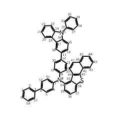 c1ccc(-c2ccc(N(c3ccc(-c4ccc5c(c4)c4ccccc4n5-c4ccccc4)cc3)c3cccc4sc5c6ccccc6ccc5c34)cc2)cc1